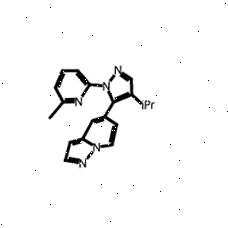 Cc1cccc(-n2ncc(C(C)C)c2-c2ccn3nccc3c2)n1